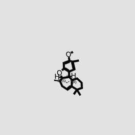 COc1cc2c(cc1C)[C@H]1[C@@H](O2)[C@H](C)CC=C2C(C)(C)CCC[C@@]21C